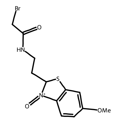 COc1ccc2c(c1)SC(CCNC(=O)CBr)[N+]2=O